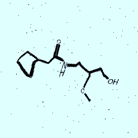 COC(CO)CNC(=O)C1CCC1